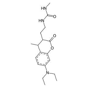 CCN(CC)c1ccc2c(c1)OC(=O)C(CCNC(=O)NC)C2C